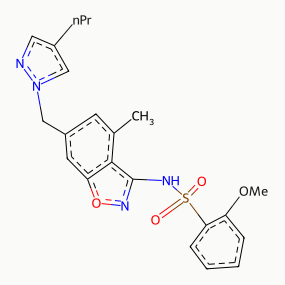 CCCc1cnn(Cc2cc(C)c3c(NS(=O)(=O)c4ccccc4OC)noc3c2)c1